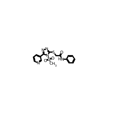 CS(=O)(=O)n1c(SCC(=O)Nc2ccccc2)nnc1-c1cccnc1